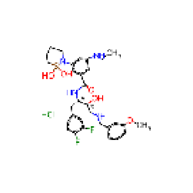 CCNc1cc(C(=O)N[C@@H](Cc2ccc(F)c(F)c2)[C@@H](O)CNCc2cccc(OC)c2)cc(N2CCCCS2(O)O)c1.Cl